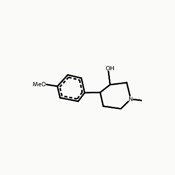 COc1ccc(C2CCN(C)CC2O)cc1